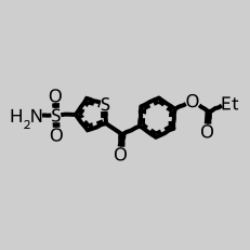 CCC(=O)Oc1ccc(C(=O)c2cc(S(N)(=O)=O)cs2)cc1